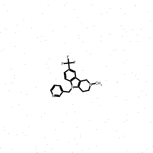 CN1CCc2c(c3cc(C(F)(F)F)ccc3n2Cc2cccnc2)C1